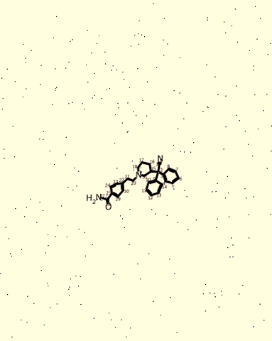 N#CC(c1ccccc1)(c1ccccc1)C1CCCN(CCc2ccc(C(N)=O)cc2)C1